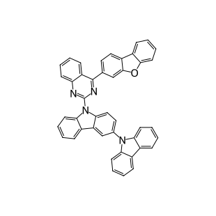 c1ccc2c(-c3ccc4c(c3)oc3ccccc34)nc(-n3c4ccccc4c4cc(-n5c6ccccc6c6ccccc65)ccc43)nc2c1